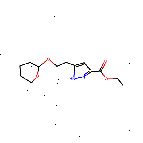 CCOC(=O)c1cc(CCOC2CCCCO2)[nH]n1